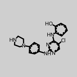 Oc1ccccc1Nc1nc(Nc2ccc(N3CCNCC3)cc2)ncc1Cl